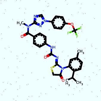 Cc1ccc(C(C)C)c(N2C(=O)CSC2=NC(=O)Nc2ccc(C(=O)N(C)c3ncn(-c4ccc(OC(F)(F)F)cc4)n3)cc2)c1